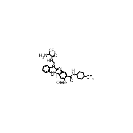 COc1cc2[nH]c(N(CNC(=O)C(N)C(F)(F)F)c3ccccc3C(F)(F)F)nc2cc1C(=O)NC1CCC(C(F)(F)F)CC1